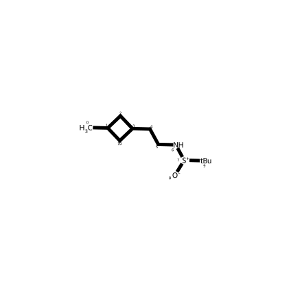 CC1CC(CCN[S+]([O-])C(C)(C)C)C1